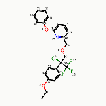 CCOc1ccc(C(Cl)(COCc2cccc(Oc3ccccc3)n2)C(F)(F)F)cc1